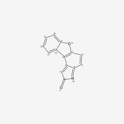 O=C1C=c2c(ccc3oc4ccccc4c23)=N1